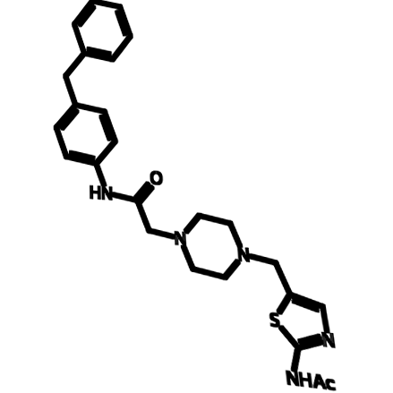 CC(=O)Nc1ncc(CN2CCN(CC(=O)Nc3ccc(Cc4ccccc4)cc3)CC2)s1